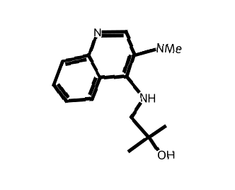 CNc1cnc2ccccc2c1NCC(C)(C)O